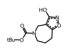 CC(C)(C)OC(=O)N1CCCc2onc(O)c2C1